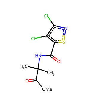 COC(=O)C(C)(C)NC(=O)c1snc(Cl)c1Cl